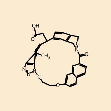 Cc1c2ccc3c1nnn3CCCCc1ccc3ccc(cc3c1)C(=O)N1CCc3ccc(cc3C1)C2CC(=O)O